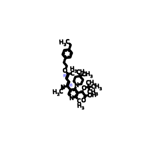 C=N/C(=C\C=C(/C)OCCc1ccc(CC)cc1)c1cnc(C)c([C@H](OC(C)(C)C)C(=O)O)c1N1CCC(C)(C)CC1